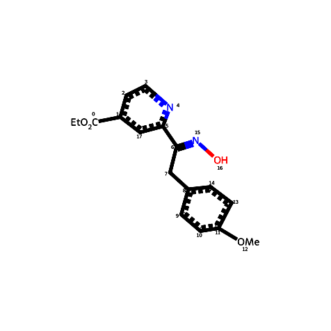 CCOC(=O)c1ccnc(/C(Cc2ccc(OC)cc2)=N/O)c1